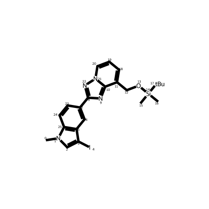 Cn1cc(I)c2cc(-c3nc4c(CO[Si](C)(C)C(C)(C)C)cccn4n3)ccc21